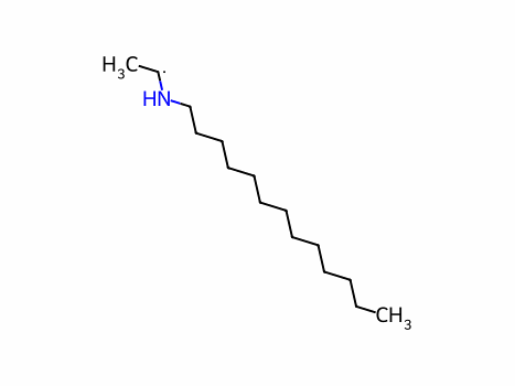 C[CH]NCCCCCCCCCCCCC